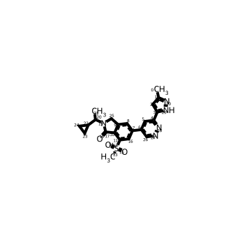 Cc1cc(-c2cc(-c3cc4c(c(S(C)(=O)=O)c3)C(=O)N(C(C)C3CC3)C4)cnn2)[nH]n1